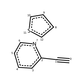 C#Cc1ccccn1.c1ccsc1